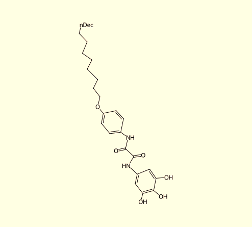 CCCCCCCCCCCCCCCCCCOc1ccc(NC(=O)C(=O)Nc2cc(O)c(O)c(O)c2)cc1